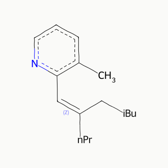 CCC/C(=C/c1ncccc1C)CC(C)CC